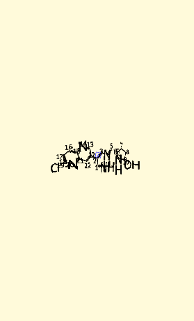 N=C/C(=C\NC[C@@H]1CCC(O)N1)c1cnc2ccc(Cl)nc2c1